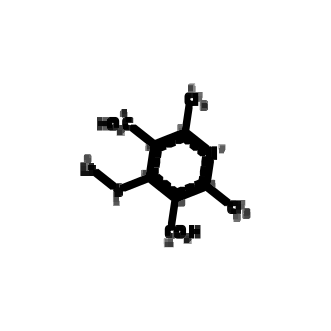 CCSc1c(C(=O)O)c(C(F)(F)F)nc(C(F)(F)F)c1C(=O)O